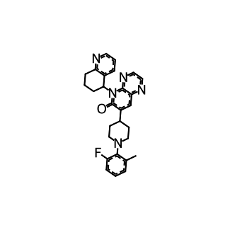 Cc1cccc(F)c1N1CCC(c2cc3nccnc3n(C3CCCc4ncccc43)c2=O)CC1